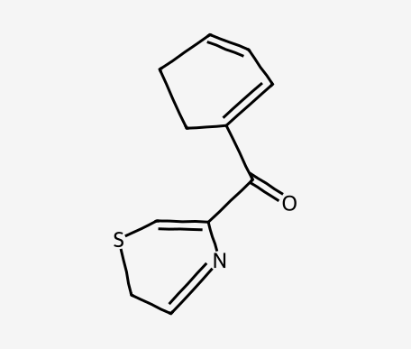 O=C(C1=CC=CCC1)C1=CSCC=N1